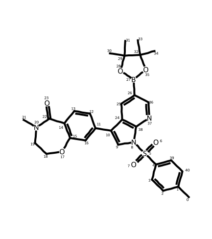 Cc1ccc(S(=O)(=O)n2cc(-c3ccc4c(c3)OCCN(C)C4=O)c3cc(B4OC(C)(C)C(C)(C)O4)cnc32)cc1